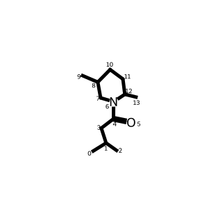 CC(C)CC(=O)N1CC(C)CCC1C